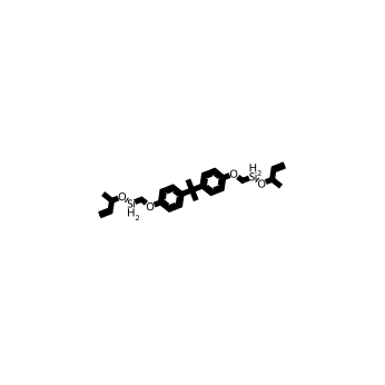 C=CC(C)O[SiH2]COc1ccc(C(C)(C)c2ccc(OC[SiH2]OC(C)C=C)cc2)cc1